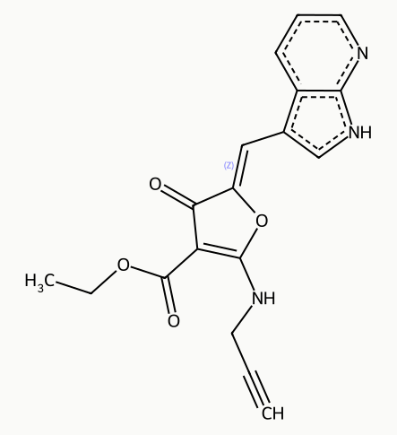 C#CCNC1=C(C(=O)OCC)C(=O)/C(=C/c2c[nH]c3ncccc23)O1